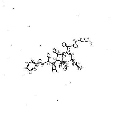 [N-]=[N+]=C1C=C(C(=O)OCC(Cl)(Cl)Cl)N2C(=O)C(NC(=O)COc3ccccc3)[C@@H]2[S@@+]1[O-]